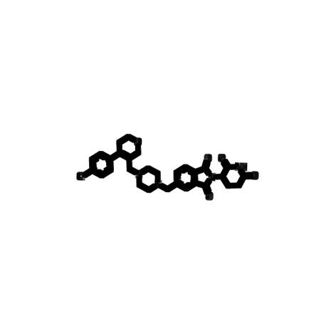 O=C1CCC(N2C(=O)c3ccc(CN4CCN(CC5=C(c6ccc(Cl)cc6)CCOC5)CC4)cc3C2=O)C(=O)N1